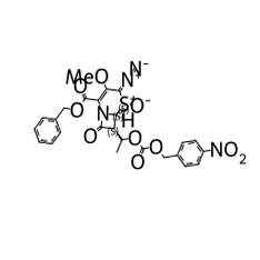 COC1=C(C(=O)OCc2ccccc2)N2C(=O)[C@H](C(C)OC(=O)OCc3ccc([N+](=O)[O-])cc3)[C@@H]2[S@@+]([O-])C1=[N+]=[N-]